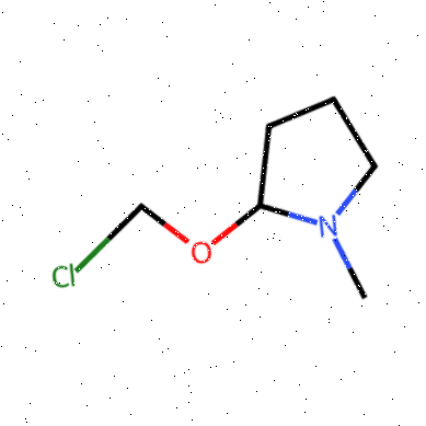 CN1CCCC1OCCl